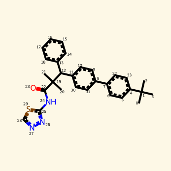 CC(C)(C)c1ccc(-c2ccc(C(c3ccccc3)C(C)(C)C(=O)Nc3nncs3)cc2)cc1